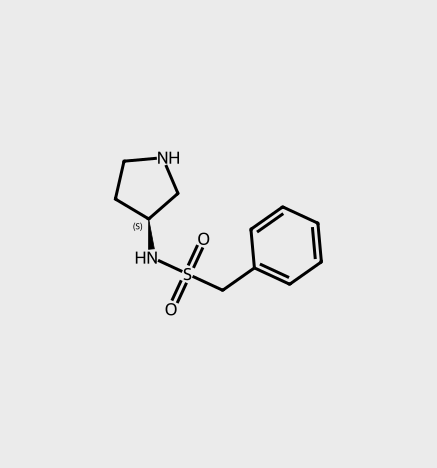 O=S(=O)(Cc1ccccc1)N[C@H]1CCNC1